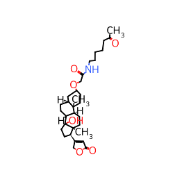 CC(=O)CCCCCNC(=O)CO[C@H]1CC[C@@]2(C)[C@H](CC[C@@H]3[C@@H]2CC[C@]2(C)[C@@H](C4=CC(=O)OC4)CC[C@]32O)C1